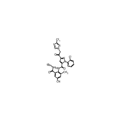 Cc1cc(C#N)cc(C(=O)NC(C)(C)C)c1NC(=O)c1cc(C(=O)Cn2nnc(C(F)(F)F)n2)nn1-c1ncccc1Cl